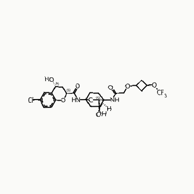 O=C(COC1CC(OC(F)(F)F)C1)NC12CCC(NC(=O)[C@@H]3C[C@@H](O)c4cc(Cl)ccc4O3)(CC1)C[C@@H]2O